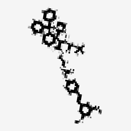 COc1cc(/C=C/c2ccc(OC(=O)OCCNC(=O)C(Cc3nccn3C(c3ccccc3)(c3ccccc3)c3ccccc3)NC(=O)OC(C)(C)C)cc2)cc(OC)c1